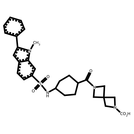 Cn1c(-c2ccccc2)cc2ccc(S(=O)(=O)NC3CCC(C(=O)N4CC5(CN(C(=O)O)C5)C4)CC3)cc21